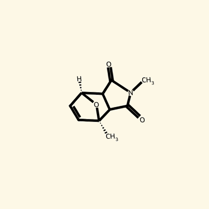 CN1C(=O)C2C(C1=O)[C@@]1(C)C=C[C@@H]2O1